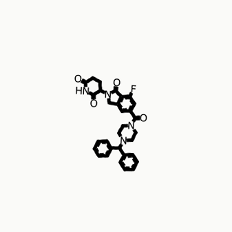 O=C1CCC(N2Cc3cc(C(=O)N4CCN(C(c5ccccc5)c5ccccc5)CC4)cc(F)c3C2=O)C(=O)N1